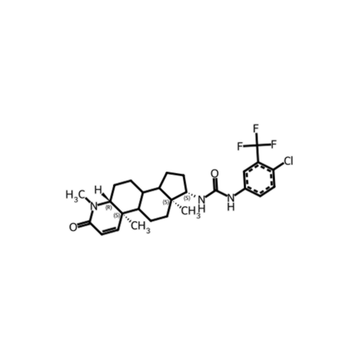 CN1C(=O)C=C[C@]2(C)C3CC[C@@]4(C)C(CC[C@@H]4NC(=O)Nc4ccc(Cl)c(C(F)(F)F)c4)C3CC[C@@H]12